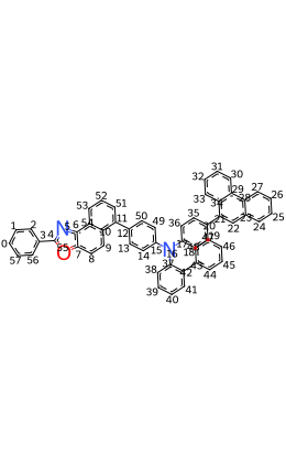 c1ccc(-c2nc3c(ccc4c(-c5ccc(N(c6ccc(-c7cc8ccccc8c8ccccc78)cc6)c6ccccc6-c6ccccc6)cc5)cccc43)o2)cc1